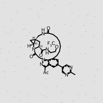 CC(=O)c1nn2c3c(cc(-c4cnc(C)nc4)cc13)CCCCCCC(=O)NC[C@@]13C[C@@H](C(=O)NCCOC(F)(F)F)N(C(=O)C2)[C@@H]1C3